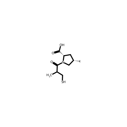 CC(CS)C(=O)N1C[C@@H](I)C[C@H]1C(=O)O